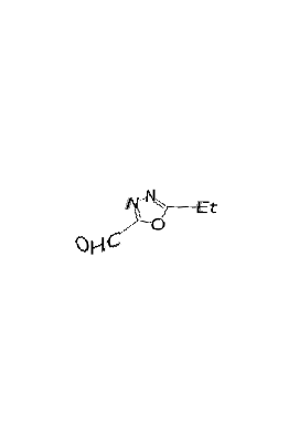 CCc1nnc(C=O)o1